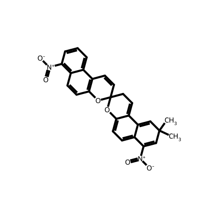 CC1(C)C=C([N+](=O)[O-])c2ccc3c(c2=C1)=CCC1(C=Cc2c(ccc4c([N+](=O)[O-])cccc24)O1)O3